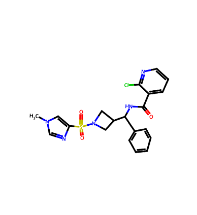 Cn1cnc(S(=O)(=O)N2CC(C(NC(=O)c3cccnc3Cl)c3ccccc3)C2)c1